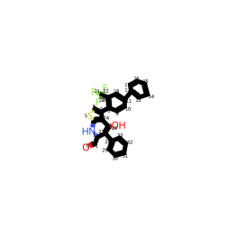 O=CC1Nc2scc(-c3ccc(-c4ccccc4)cc3C(F)(F)F)c2C(O)=C1c1ccccc1